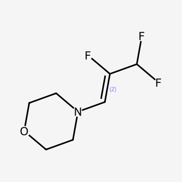 F/C(=C\N1CCOCC1)C(F)F